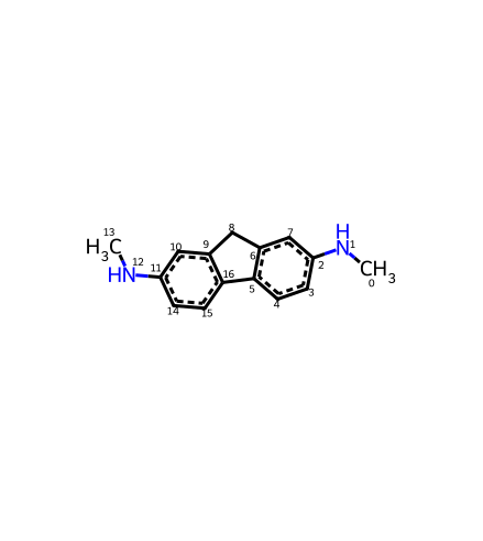 CNc1ccc2c(c1)Cc1cc(NC)ccc1-2